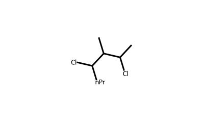 CCCC(Cl)C(C)C(C)Cl